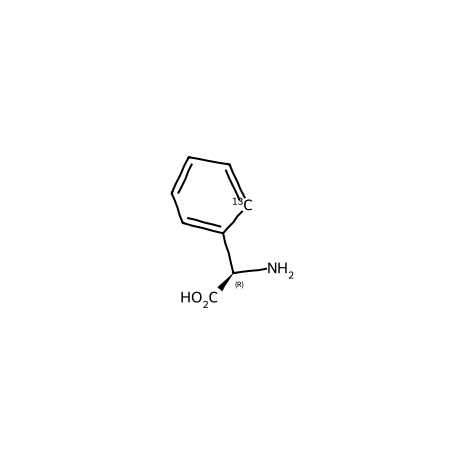 N[C@@H](C(=O)O)c1cccc[13cH]1